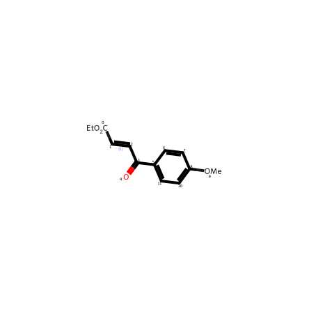 CCOC(=O)/C=C/C(=O)c1ccc(OC)cc1